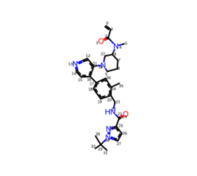 C=CC(=O)N(C)C1CCCN(c2cnccc2-c2ccc(CNC(=O)c3ccn(C(C)(C)C)n3)c(C)c2)C1